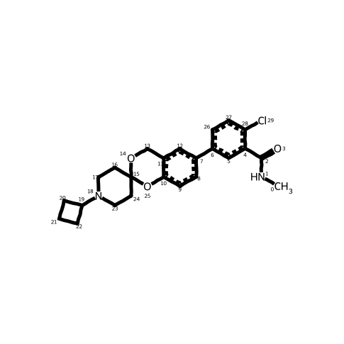 CNC(=O)c1cc(-c2ccc3c(c2)COC2(CCN(C4CCC4)CC2)O3)ccc1Cl